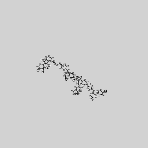 CC1(C)CCC(CN2CCN(c3ccc(C(=O)NS(=O)(=O)c4ccc(NCC5CCN(CCC#Cc6cccc7c6C(=O)N(C6CCC(=O)NC6=O)C7=O)CC5)c([N+](=O)[O-])c4)c(Oc4cnc5[nH]ccc5c4)c3)CC2)=C(c2ccc(Cl)cc2)C1